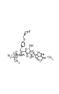 C#CCOc1ccc(C[C@H](NC(=O)OC(C)(C)C)C(=O)NC2[C@@H](CO)O[C@@H](n3cnc4c(N(C)C)ncnc43)[C@H]2O)cc1